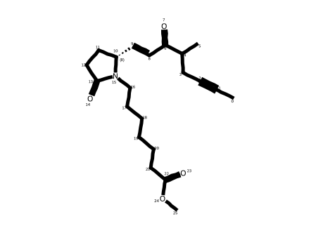 CC#CCC(C)C(=O)C=C[C@H]1CCC(=O)N1CCCCCCC(=O)OC